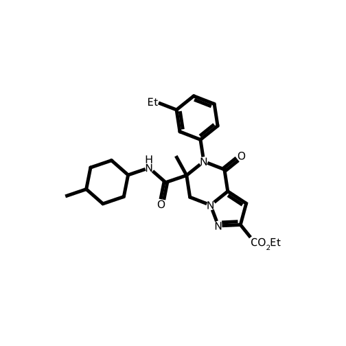 CCOC(=O)c1cc2n(n1)CC(C)(C(=O)NC1CCC(C)CC1)N(c1cccc(CC)c1)C2=O